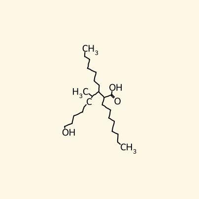 CCCCCCCCC(C(=O)O)C(CCCCCCC)C(C)CCCCCCO